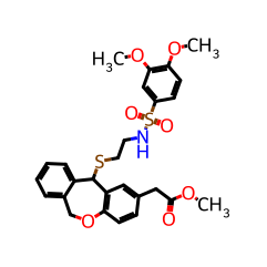 COC(=O)Cc1ccc2c(c1)C(SCCNS(=O)(=O)c1ccc(OC)c(OC)c1)c1ccccc1CO2